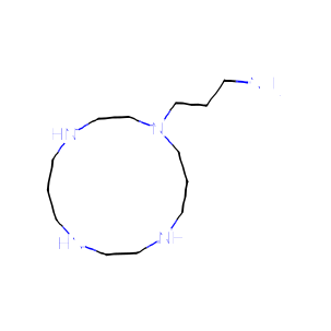 NCCCN1CCCNCCNCCCNCC1